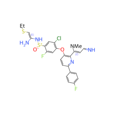 CCS/C=C(\N)N[S+]([O-])c1cc(Cl)c(Oc2ccc(-c3ccc(F)cc3)nc2/C(=C/C=N)NC)cc1F